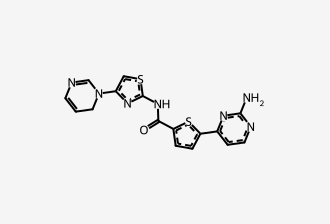 Nc1nccc(-c2ccc(C(=O)Nc3nc(N4C=NC=CC4)cs3)s2)n1